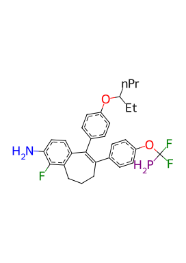 CCCC(CC)Oc1ccc(C2=C(c3ccc(OC(F)(F)P)cc3)CCCc3c2ccc(N)c3F)cc1